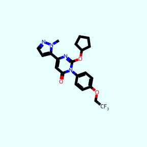 Cn1nccc1-c1cc(=O)n(-c2ccc(OCC(F)(F)F)cc2)c(OC2CCCC2)n1